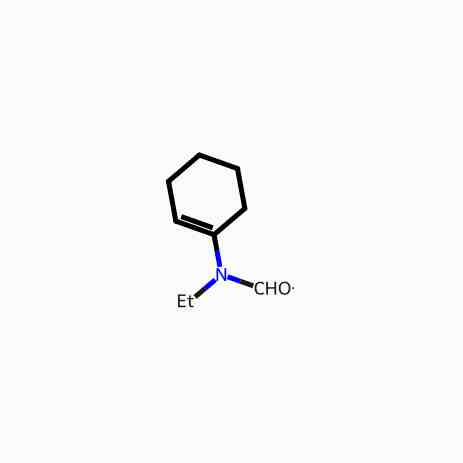 CCN([C]=O)C1=CCCCC1